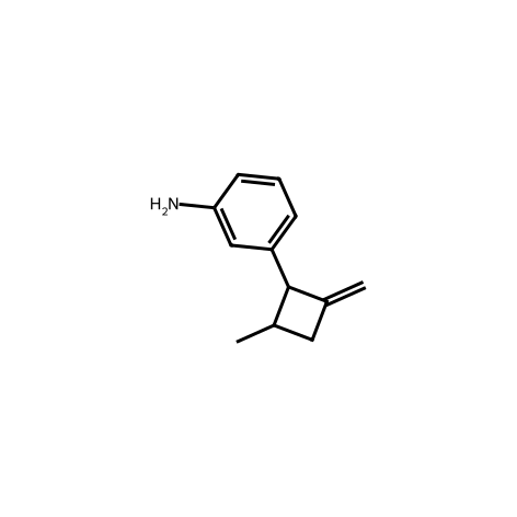 C=C1CC(C)C1c1cccc(N)c1